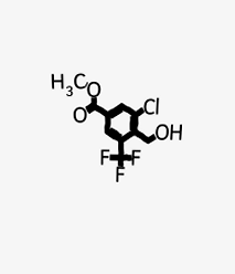 COC(=O)c1cc(Cl)c(CO)c(C(F)(F)F)c1